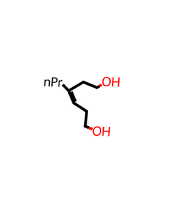 CCCC(=CCCO)CCO